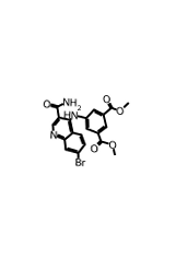 COC(=O)c1cc(Nc2c(C(N)=O)cnc3cc(Br)ccc23)cc(C(=O)OC)c1